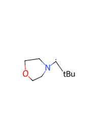 CC(C)(C)[CH]N1CCOCC1